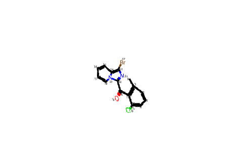 Cc1cccc(Cl)c1C(=O)c1nc(Br)c2ccccn12